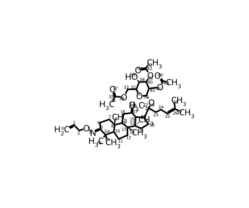 C=CCO/N=C1\CC[C@@]2(C)C(CC[C@]3(C)C2CC(=O)C2C([C@](C)(CCC=C(C)C)O[C@@H]4OC(COC(C)=O)[C@@H](O)C(OC(C)=O)C4OC(C)=O)CC[C@]23C)C1(C)C